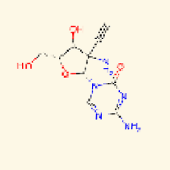 C#CC1(N)C(O)[C@@H](CO)O[C@H]1n1cnc(N)nc1=O